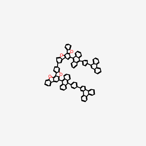 c1ccc2c(c1)cc(-c1ccc(-c3c4ccccc4c(-c4cc5c6cc(-c7ccc8c(c7)oc7c(-c9c%10ccccc%10c(-c%10ccc(-c%11ccc%12c%13ccccc%13c%13ccccc%13c%12c%11)cc%10)c%10ccccc9%10)cc9c%10ccccc%10oc9c78)ccc6oc5c5c4oc4ccccc45)c4ccccc34)cc1)c1ccccc12